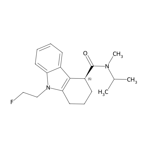 CC(C)N(C)C(=O)[C@H]1CCCc2c1c1ccccc1n2CCF